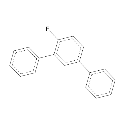 Fc1[c]cc(-c2ccccc2)cc1-c1ccccc1